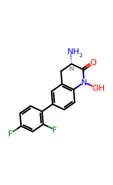 N[C@H]1Cc2cc(-c3ccc(F)cc3F)ccc2N(O)C1=O